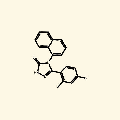 Cc1cc(F)ccc1-c1n[nH]c(=S)n1-c1cccc2ccccc12